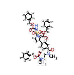 CN(CCN(C)C(=O)c1ccc(-c2ccn(S(=O)(=O)NC(=O)OCc3ccccc3)c2C(=O)OCc2ccccc2)cc1)C(=O)OCc1ccccc1